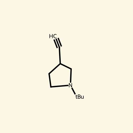 C#CC1CCN(C(C)(C)C)C1